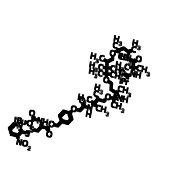 CC(CC(C)(C)OCC(C)C(C)(C)C(C)(C)OCCC1(C)NC1(C)OCC(C)C(C)(C)NC(=O)COc1ccc(COC(=O)C(CSSc2ncccc2[N+](=O)[O-])NC(=O)OC(C)(C)C)cc1)NC(=O)C(C)(C)NC(=O)C(C)C